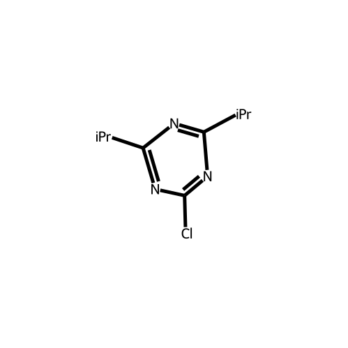 CC(C)c1nc(Cl)nc(C(C)C)n1